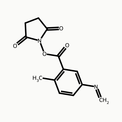 C=Nc1ccc(C)c(C(=O)ON2C(=O)CCC2=O)c1